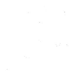 CC(C)(O)COc1cc(-c2cccnc2)c2c(C#N)cnn2c1